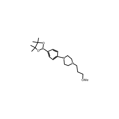 COCCCN1CCN(c2ccc(B3OC(C)(C)C(C)(C)O3)cc2)CC1